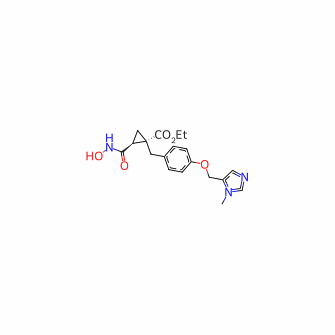 CCOC(=O)[C@@]1(Cc2ccc(OCc3cncn3C)cc2)C[C@@H]1C(=O)NO